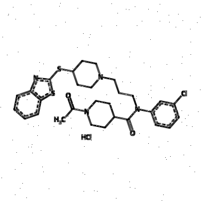 CC(=O)N1CCC(C(=O)N(CCCN2CCC(Sc3nc4ccccc4s3)CC2)c2cccc(Cl)c2)CC1.Cl